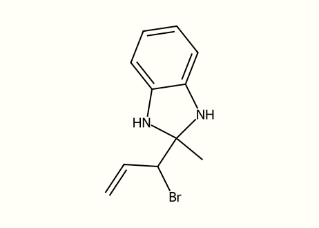 C=CC(Br)C1(C)Nc2ccccc2N1